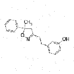 CC1(c2ccccc2)CC(CCc2cccc(O)c2)=NO1